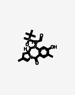 CC1=CN2C(=O)c3cc(C)c(O)cc3N(BC=O)[C@@H](O[Si](C)(C)C(C)(C)C)[C@@H]2C1